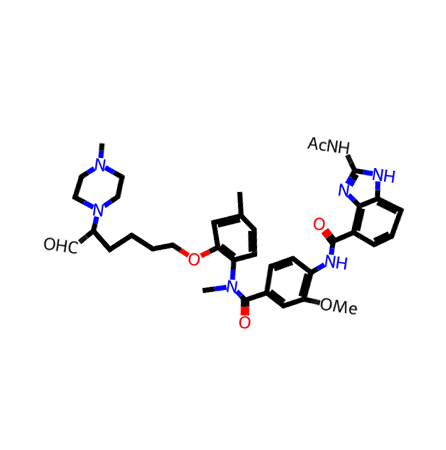 COc1cc(C(=O)N(C)c2ccc(C)cc2OCCCCC(C=O)N2CCN(C)CC2)ccc1NC(=O)c1cccc2[nH]c(NC(C)=O)nc12